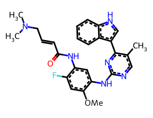 COc1cc(F)c(NC(=O)/C=C/CN(C)C)cc1Nc1ncc(C)c(-c2c[nH]c3ccccc23)n1